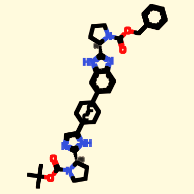 CC(C)(C)OC(=O)N1CCC[C@H]1c1ncc(C23CCC(c4ccc5nc([C@@H]6CCCN6C(=O)OCc6ccccc6)[nH]c5c4)(CC2)CC3)[nH]1